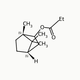 CCC(=O)OC1C[C@@H]2CC[C@@]1(C)C2(C)C